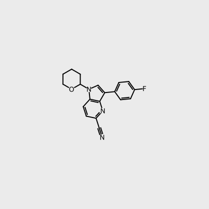 N#Cc1ccc2c(n1)c(-c1ccc(F)cc1)cn2C1CCCCO1